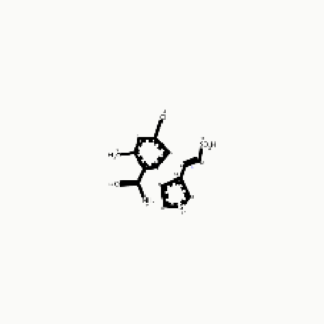 Cc1cc(Cl)ccc1C(N)=O.O=S(=O)(O)/C=C/c1ccsc1